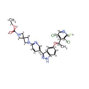 CCOC(=O)N1CC2(C1)CN(c1ccc(-c3n[nH]c4ccc(O[C@H](C)c5c(Cl)cnc(F)c5Cl)cc34)cn1)C2